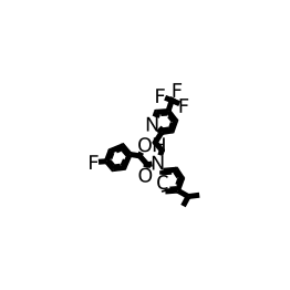 CC(C)c1ccc(N(CCc2ccc(C(F)(F)F)cn2)C(=O)C(O)c2ccc(F)cc2)cc1